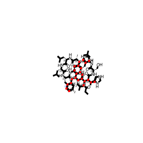 CCC(=O)N[C@@H](CC(C)C)C(=O)N[C@@H](Cc1ccccc1)C(=O)N[C@@H](CC1=CNCN1)C(=O)N[C@@H](C)C(=O)N[C@@H](CC(C)C)C(=O)N[C@@H](CC(C)C)C(=O)N[C@@H](C/C(N)=C/N)C(=O)N[C@@H](CC(C)C)C(=O)N[C@@H](CC(C)C)C(=O)N[C@@H](CC1=CNCN1)C(=O)N[C@@H](CO)C(=O)N[C@H](C=O)CC(C)C